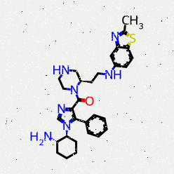 Cc1nc2cc(NCC[C@@H]3CNCCN3C(=O)c3ncn([C@H]4CCCC[C@@H]4N)c3-c3ccccc3)ccc2s1